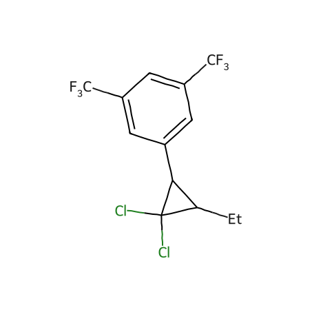 CCC1C(c2cc(C(F)(F)F)cc(C(F)(F)F)c2)C1(Cl)Cl